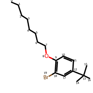 CCCCCCCCOc1ccc(C(C)(C)C)cc1Br